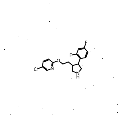 Fc1ccc(C2CNCC2CCOc2ccc(Cl)cn2)c(F)c1